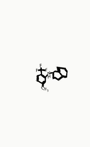 Cc1[c]cc(C(F)(F)F)c(NC2CCc3ccccc32)c1